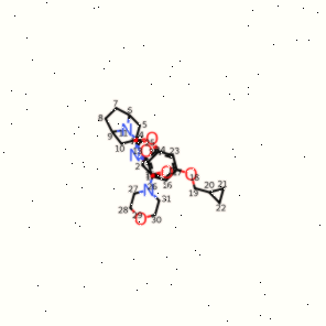 O=C(COC1CC2CCC(C1)N2c1nc2ccc(OCC3CC3)cc2o1)N1CCOCC1